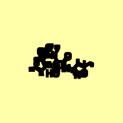 Cc1cc(NC(=O)C2=C(O)c3ccsc3S(=O)(=O)N2C)no1